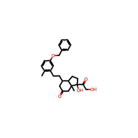 Cc1ccc(OCc2ccccc2)cc1CCC1CC(=O)CC2(C)C1CCC2(O)C(=O)CO